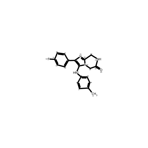 Cc1ccc(Nc2c(-c3ccc(F)cc3)nc3n2CC(=O)NC3)cc1